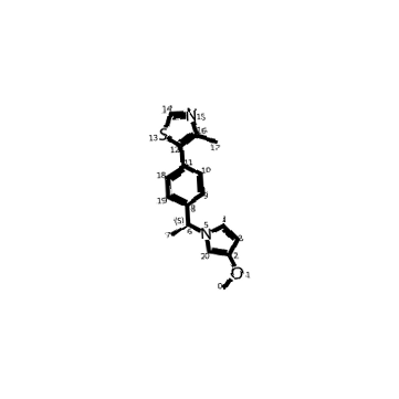 COc1ccn([C@@H](C)c2ccc(-c3scnc3C)cc2)c1